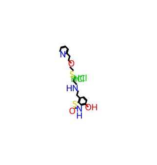 Cl.Cl.O=c1[nH]c2c(O)ccc(CCNCCCSCCOCCc3ccccn3)c2s1